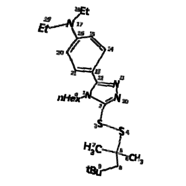 CCCCCCn1c(SSC(C)(C)CC(C)(C)C)nnc1-c1ccc(N(CC)CC)cc1